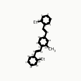 CCc1ccccc1C=Cc1ccc(C=Cc2ccccc2CC)c(C)c1